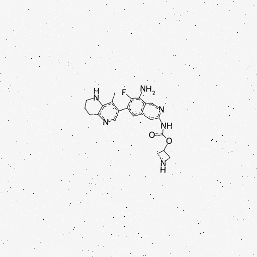 Cc1c(-c2cc3cc(NC(=O)OC4CNC4)ncc3c(N)c2F)cnc2c1NCCC2